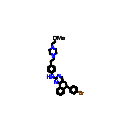 COCCN1CCN(CCc2ccc(Nc3ncc4c(n3)-c3ccccc3C(c3ccc(Br)cc3)C4)cc2)CC1